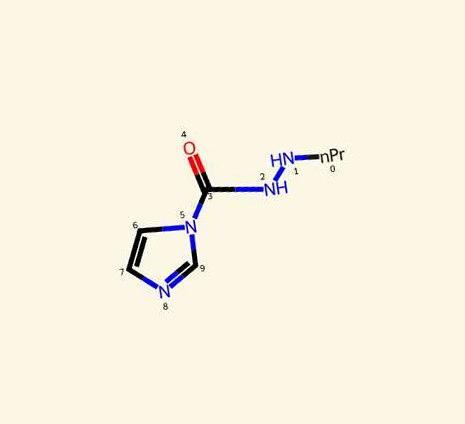 CCCNNC(=O)n1ccnc1